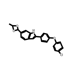 CC1OC(c2ccc3cc(-c4ccc(Oc5ccc(Cl)cc5)cc4)[nH]c3c2)O1